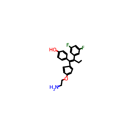 CCC(=C(c1ccc(O)cc1)c1ccc(OCCN)cc1)c1cc(F)cc(F)c1